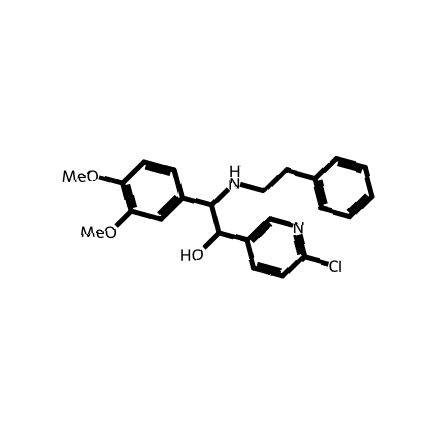 COc1ccc(C(NCCc2ccccc2)C(O)c2ccc(Cl)nc2)cc1OC